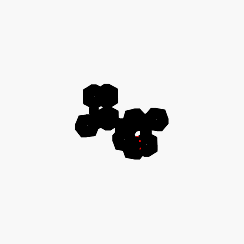 c1ccc(-n2c3ccccc3c3ccc4c(c5c6ccccc6ccc5n4-c4cc(-c5cccc6ccccc56)c5sc6ccccc6c5c4)c32)cc1